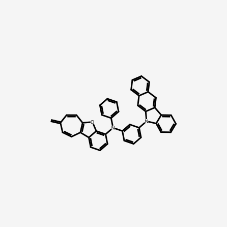 C=C1C=Cc2oc3c(N(c4ccccc4)c4cccc(-n5c6ccccc6c6cc7ccccc7cc65)c4)cccc3c2C=C1